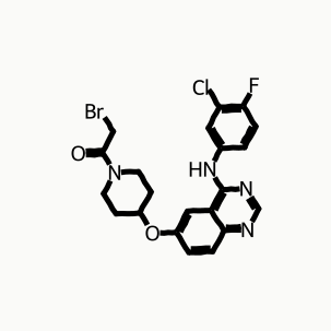 O=C(CBr)N1CCC(Oc2ccc3ncnc(Nc4ccc(F)c(Cl)c4)c3c2)CC1